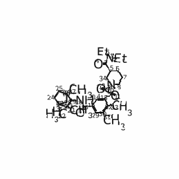 CCN(CC)C(=O)C1CCCN(S(=O)(=O)c2cc(C(=O)NC3C(C)(C)[C@@H]4CC[C@]3(C)C4)cc(C)c2C)C1